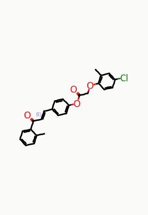 Cc1cc(Cl)ccc1OCC(=O)Oc1ccc(/C=C/C(=O)c2ccccc2C)cc1